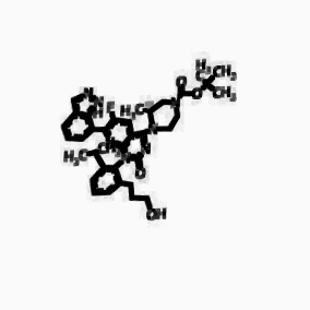 CC(C)c1cccc(CCCO)c1-n1c(=O)nc(N2CCN(C(=O)OC(C)(C)C)C[C@@H]2C)c2cc(F)c(-c3cccc4cn[nH]c34)nc21